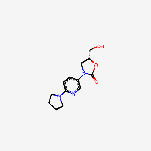 O=C1O[C@@H](CO)CN1c1ccc(N2CCCC2)nc1